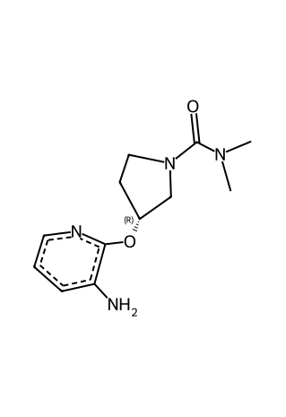 CN(C)C(=O)N1CC[C@@H](Oc2ncccc2N)C1